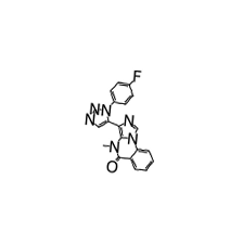 Cn1c(=O)c2ccccc2n2cnc(-c3cnnn3-c3ccc(F)cc3)c12